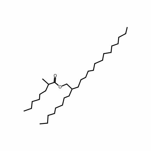 CCCCCCCCCCCCCCC(CCCCCCCC)COC(=O)C(C)CCCCCC